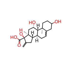 C=C1C[C@H]2[C@@H]3CC=C4CC(O)CC[C@]4(C)[C@H]3[C@@H](O)C[C@]2(C)[C@@]1(O)C(=O)O